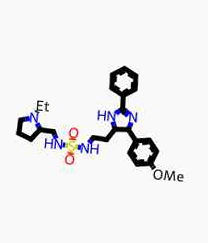 CCN1CCCC1CNS(=O)(=O)NCCC1NC(c2ccccc2)=NC1c1ccc(OC)cc1